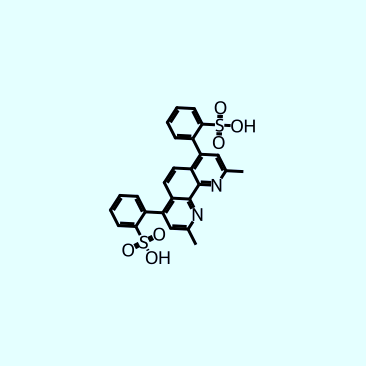 Cc1cc(-c2ccccc2S(=O)(=O)O)c2ccc3c(-c4ccccc4S(=O)(=O)O)cc(C)nc3c2n1